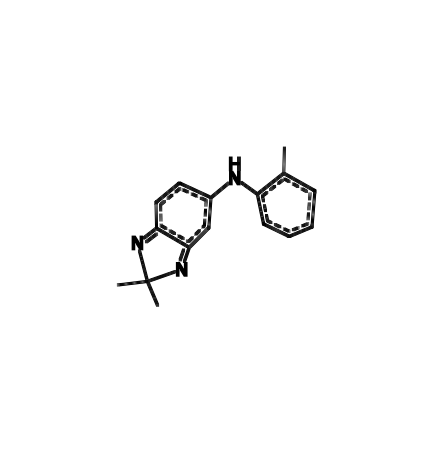 Cc1ccccc1Nc1ccc2c(c1)=NC(C)(C)N=2